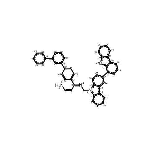 N/C=C\C(=N/Cn1c2ccccc2c2cc(-c3cccc4c3oc3ccccc34)ccc21)C1=CCC(c2cccc(-c3ccccc3)c2)C=C1